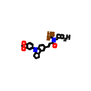 O=C(O)CN(C(=O)/C=C/c1ccc2c(c1)C1CCCC1N2c1ccc2c(c1)OCO2)C(=S)S